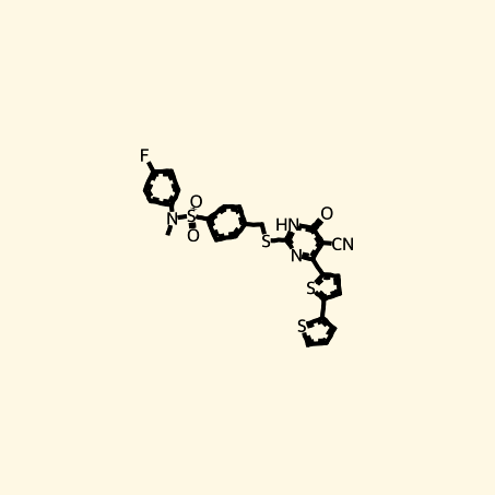 CN(c1ccc(F)cc1)S(=O)(=O)c1ccc(CSc2nc(-c3ccc(-c4cccs4)s3)c(C#N)c(=O)[nH]2)cc1